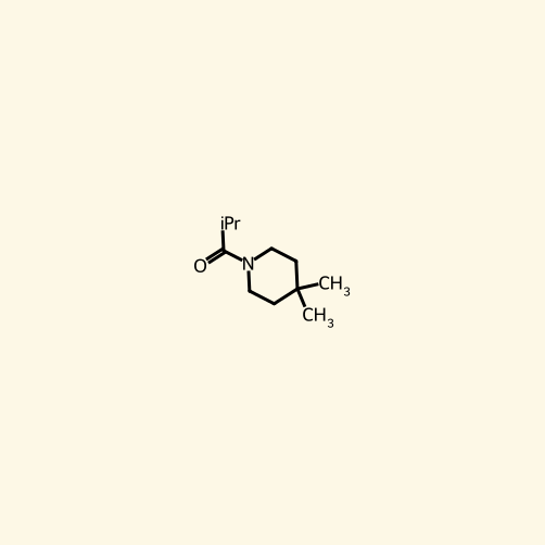 CC(C)C(=O)N1CCC(C)(C)CC1